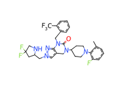 Cc1cccc(F)c1N1CCC(N2Cc3cn(CC4CC(F)(F)CN4)nc3N(Cc3ccccc3C(F)(F)F)C2=O)CC1